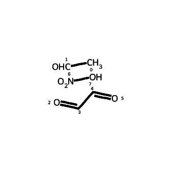 CC=O.O=CC=O.O=[N+]([O-])O